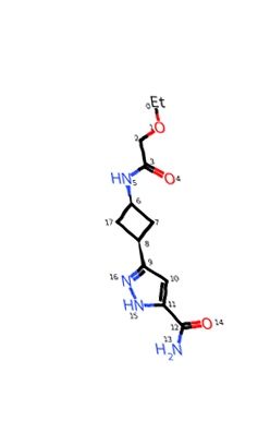 CCOCC(=O)N[C@H]1C[C@@H](c2cc(C(N)=O)[nH]n2)C1